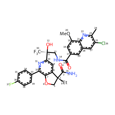 CC[C@@]1(C(N)=O)COc2c1cc([C@@](O)(CNC(=O)c1cc(OC)c3nc(C)c(Cl)cc3c1)C(F)(F)F)nc2-c1ccc(F)cc1